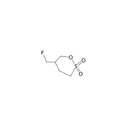 O=S1(=O)CCC(CF)CO1